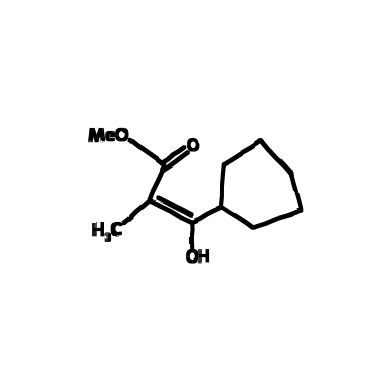 COC(=O)C(C)=C(O)C1CCCCC1